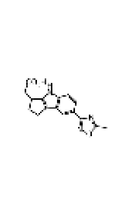 Cc1nc(-c2ccc3[nH]c4c(c3c2)CCC4CC(=O)O)no1